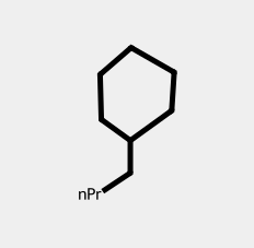 [CH]CCCC1CCCCC1